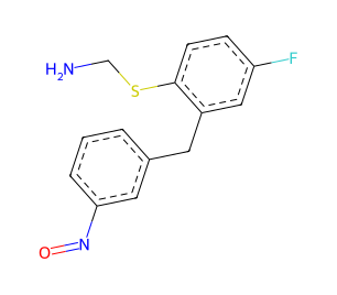 NCSc1ccc(F)cc1Cc1cccc(N=O)c1